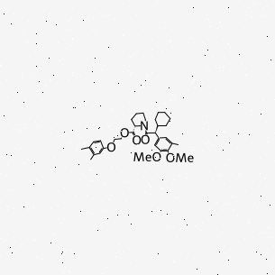 COc1cc([C@@H](C(=O)N2CCCC[C@H]2C(=O)OCCOc2ccc(C)c(C)c2)C2CCCCC2)cc(C)c1OC